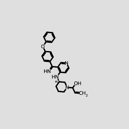 C=CC(O)N1CCC[C@@H](Nc2ccncc2C(=N)c2ccc(Oc3ccccc3)cc2)C1